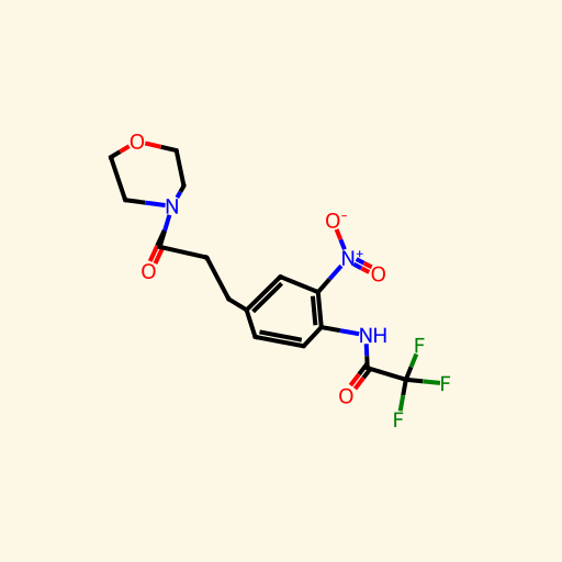 O=C(CCc1ccc(NC(=O)C(F)(F)F)c([N+](=O)[O-])c1)N1CCOCC1